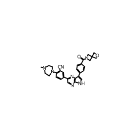 CN1CCN(c2ccc(-c3cnc4[nH]cc(-c5ccc(C(=O)N6CC7(COC7)C6)cc5)c4n3)cc2C#N)CC1